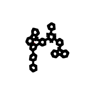 c1ccc(-c2ccc(-c3cccc(-c4ccc(-c5nc(-c6ccccc6)nc(-c6cccc(-n7c8ccccc8c8ccccc87)c6)n5)cc4-n4c5ccccc5c5ccccc54)c3)cc2)cc1